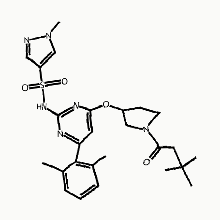 Cc1cccc(C)c1-c1cc(OC2CCN(C(=O)CC(C)(C)C)C2)nc(NS(=O)(=O)c2cnn(C)c2)n1